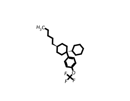 CCCCC[C@H]1CC[C@](c2ccc(OC(F)(F)F)cc2)(C2CCCCC2)CC1